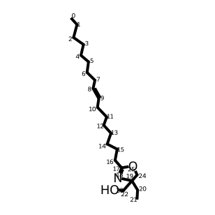 CCCCCCCCC=CCCCCCCCC1=NC(CC)(CO)CO1